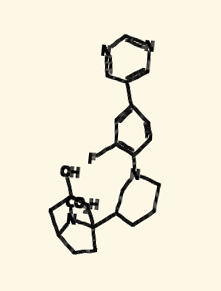 O=C(O)N1C2CCC1(C1CCCN(c3ccc(-c4cncnc4)cc3F)C1)CC(O)C2